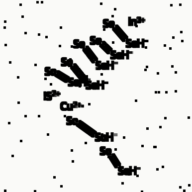 [Cu+2].[In+3].[S+2].[Se]=[SeH-].[Se]=[SeH-].[Se]=[SeH-].[Se]=[SeH-].[Se]=[SeH-].[Se]=[SeH-].[Se]=[SeH-]